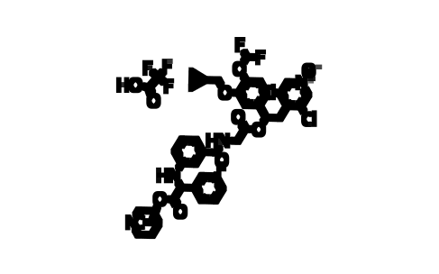 O=C(CNC(=O)c1cccc(NC(C(=O)OC2CN3CCC2CC3)c2cccc(F)c2)c1)OC(Cc1c(Cl)c[n+]([O-])cc1Cl)c1ccc(OC(F)F)c(OCC2CC2)c1.O=C(O)C(F)(F)F